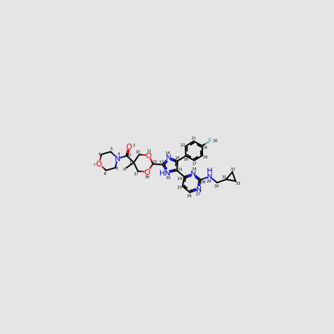 CC1(C(=O)N2CCOCC2)COC(c2nc(-c3ccc(F)cc3)c(-c3ccnc(NCC4CC4)n3)[nH]2)OC1